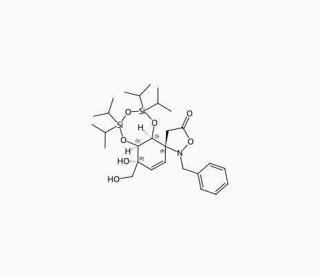 CC(C)[Si]1(C(C)C)O[C@@H]2[C@H](O[Si](C(C)C)(C(C)C)O1)[C@](O)(CO)C=C[C@]21CC(=O)ON1Cc1ccccc1